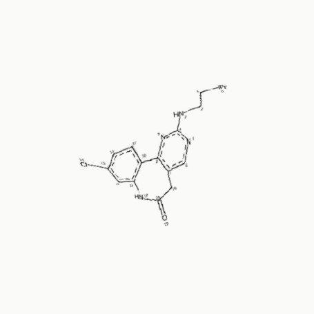 CC(C)CCNc1ncc2c(n1)-c1ccc(Cl)cc1NC(=O)C2